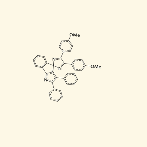 COc1ccc(C2=NC3(N=C2c2ccc(OC)cc2)c2ccccc2-c2nc(-c4ccccc4)c(-c4ccccc4)n23)cc1